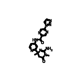 CN1C(=O)CC(C)(c2cc(NC(=O)c3cnc(-n4ccnn4)cn3)ccn2)N=C1N